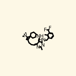 C=C(N(C)C)C12CCC/C=c3/nc(C)nc(NCc4cccc(C(F)F)c4C)/c3=C/NC(CC1)CC2